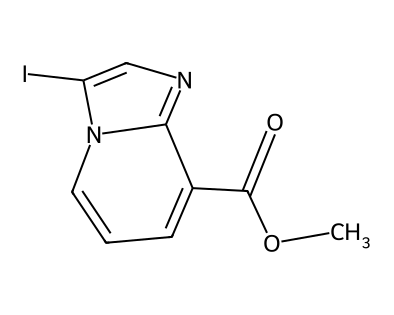 COC(=O)c1cccn2c(I)cnc12